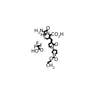 C=CCOC(=O)N1CC[C@H](N2CC/C(=C\C3=C(C(=O)O)N4C(=O)[C@@H](N)[C@H]4SC3)C2=O)C1.O=C(O)C(F)(F)F